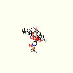 C=C1C(=O)[C@]23[C@H](OC(=O)C4CCN(S(=O)(=O)CC)CC4)[C@H]1CC[C@H]2[C@@]12CO[C@@]3(O)[C@@H](O)[C@@H]1C(C)(C)CCC2=O